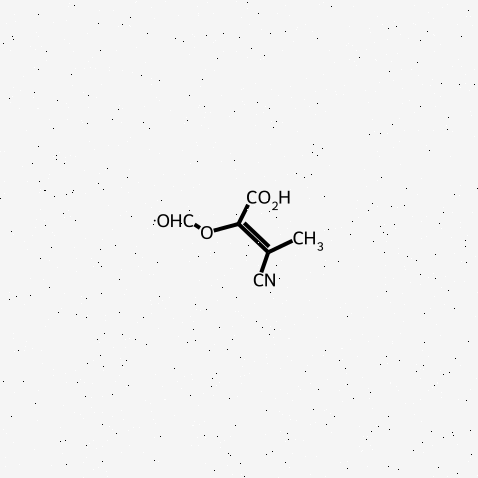 CC(C#N)=C(O[C]=O)C(=O)O